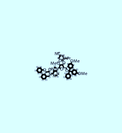 COc1ccc(C(OC[C@H]2O[C@@H](n3cnc4c(N(Cc5ccccc5)C(=O)COc5ccccc5)ncnc43)[C@@H](OC)C2OP(OCCC#N)N(C(C)C)C(C)C)(c2ccccc2)c2ccc(OC)cc2)cc1